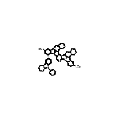 CC(C)(C)c1ccc2c(c1)c1c3ccccc3cc3c4c5c6c7ccccc7cc7c8cc(C(C)(C)C)cc(-c9ccc%10c(c9)c9ccccc9n%10-c9ccccc9)c8n(c5cnc4n2c31)c76